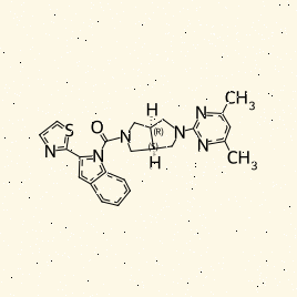 Cc1cc(C)nc(N2C[C@H]3CN(C(=O)n4c(-c5nccs5)cc5ccccc54)C[C@H]3C2)n1